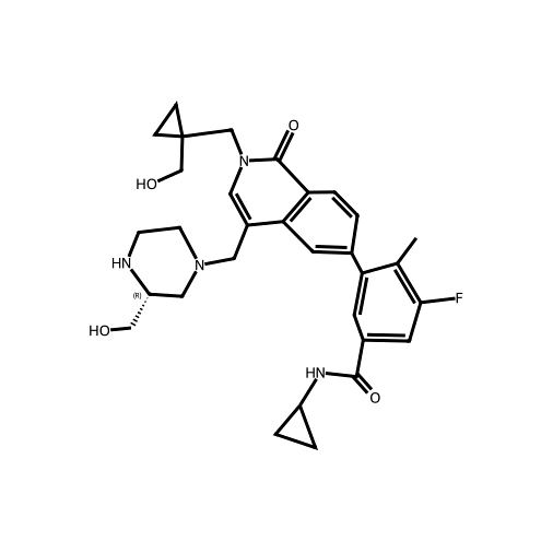 Cc1c(F)cc(C(=O)NC2CC2)cc1-c1ccc2c(=O)n(CC3(CO)CC3)cc(CN3CCN[C@@H](CO)C3)c2c1